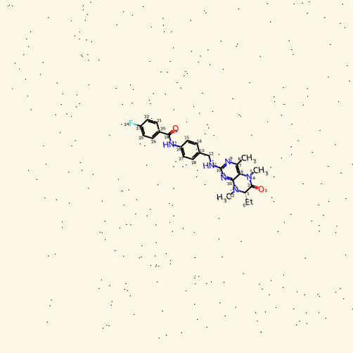 CC[C@H]1C(=O)N(C)c2c(C)nc(NCc3ccc(NC(=O)c4ccc(F)cc4)cc3)nc2N1C